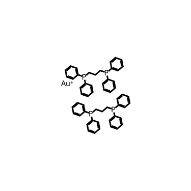 [Au+].c1ccc(P(CCCP(c2ccccc2)c2ccccc2)c2ccccc2)cc1.c1ccc(P(CCCP(c2ccccc2)c2ccccc2)c2ccccc2)cc1